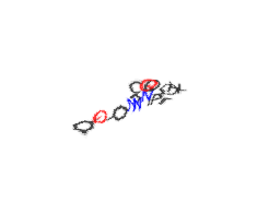 CC(C)N(c1nn(-c2ccc(COc3ccccc3)cc2)cc1C(=O)O)C(=O)[C@H]1CC[C@H](C)CC1